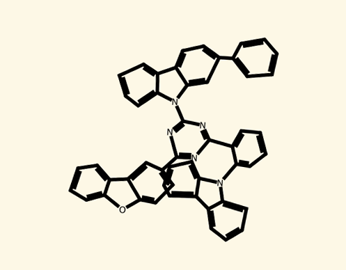 c1ccc(-c2ccc3c4ccccc4n(-c4nc(-c5ccc6oc7ccccc7c6c5)nc(-c5ccccc5-n5c6ccccc6c6ccccc65)n4)c3c2)cc1